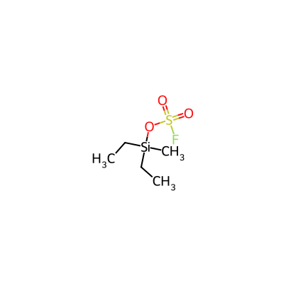 CC[Si](C)(CC)OS(=O)(=O)F